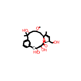 CC[C@@H](/C=C(/C)C1C[C@@H](OC)C[C@@H](O)C(C)(C)c2cccc(c2)C[C@@H](O)[C@H](O)C(=O)O1)CO